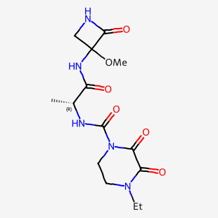 CCN1CCN(C(=O)N[C@H](C)C(=O)NC2(OC)CNC2=O)C(=O)C1=O